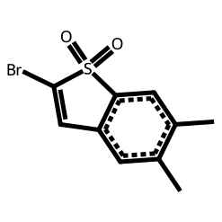 Cc1cc2c(cc1C)S(=O)(=O)C(Br)=C2